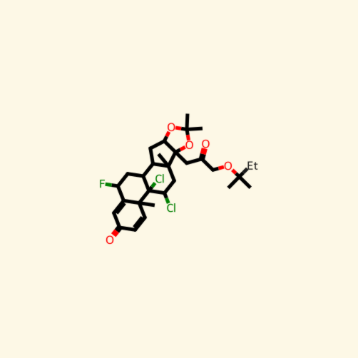 CCC(C)(C)OCC(=O)CC12OC(C)(C)OC1CC1C3CC(F)C4=CC(=O)C=CC4(C)C3(Cl)C(Cl)CC12C